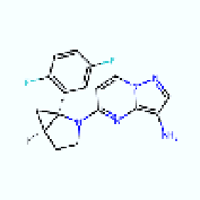 Nc1cnn2ccc(N3CC[C@H]4C[C@]43c3cc(F)ccc3F)nc12